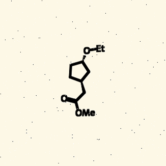 CCO[C@H]1CC[C@H](CC(=O)OC)C1